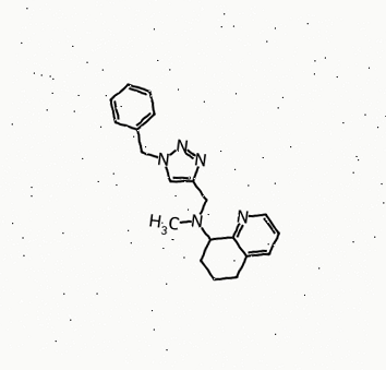 CN(Cc1cn(Cc2ccccc2)nn1)C1CCCc2cccnc21